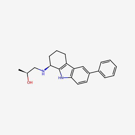 C[C@H](O)CN[C@H]1CCCc2c1[nH]c1ccc(-c3ccccc3)cc21